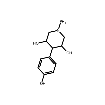 Oc1ccc(C2C(O)CN(P)CC2O)cc1